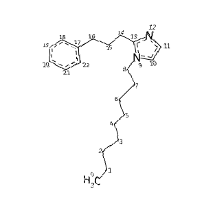 CCCCCCCCCn1ccnc1CCCc1ccccc1